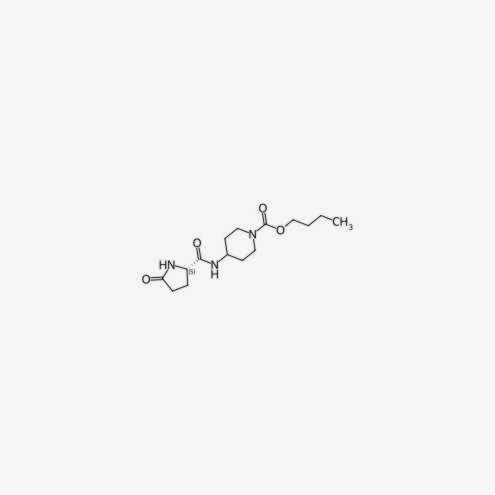 CCCCOC(=O)N1CCC(NC(=O)[C@@H]2CCC(=O)N2)CC1